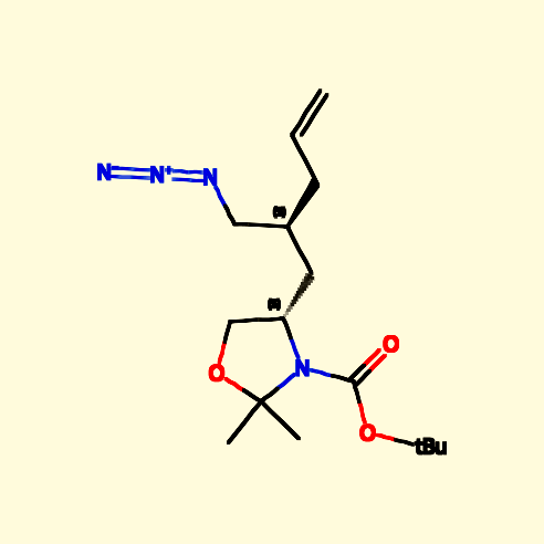 C=CC[C@H](CN=[N+]=[N-])C[C@H]1COC(C)(C)N1C(=O)OC(C)(C)C